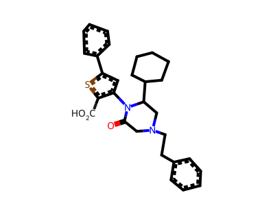 O=C(O)c1sc(-c2ccccc2)cc1N1C(=O)CN(CCc2ccccc2)CC1C1CCCCC1